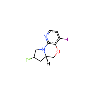 F[C@@H]1C[C@H]2COc3c(I)ccnc3N2C1